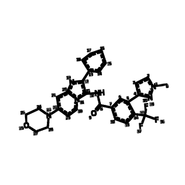 Cn1ccc(-c2cc(C(=O)Nc3c(-c4ccccc4)nc4cc(N5CCOCC5)ccn34)ccc2C(F)(F)F)n1